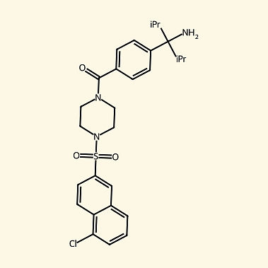 CC(C)C(N)(c1ccc(C(=O)N2CCN(S(=O)(=O)c3ccc4c(Cl)cccc4c3)CC2)cc1)C(C)C